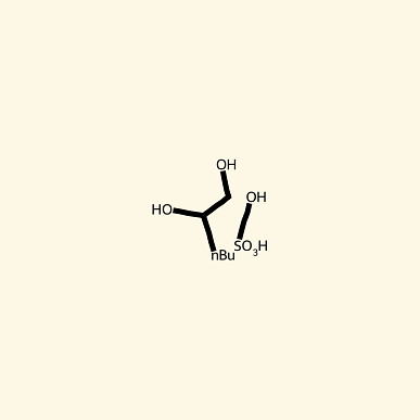 CCCCC(O)CO.O=S(=O)(O)O